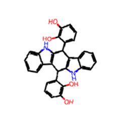 Oc1cccc(C2c3[nH]c4ccccc4c3C(c3cccc(O)c3O)c3[nH]c4ccccc4c32)c1O